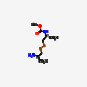 CC(C)(C)OC(=O)N[C@@H](CSSC[C@H](N)C(=O)O)C(=O)O